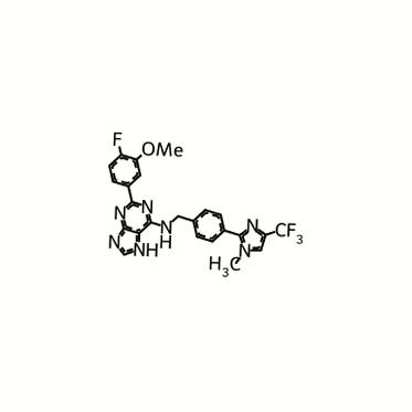 COc1cc(-c2nc(NCc3ccc(-c4nc(C(F)(F)F)cn4C)cc3)c3[nH]cnc3n2)ccc1F